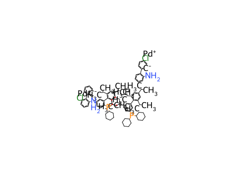 CC(C)c1cc(C(C)C)c(-c2cccc(P(C3CCCCC3)C3CCCCC3)c2)c(C(C)C)c1.CC(C)c1cc(C(C)C)c(-c2ccccc2P(C2CCCCC2)C2CCCCC2)c(C(C)C)c1.Nc1ccccc1-c1[c-]cccc1.Nc1ccccc1-c1[c-]cccc1.[Cl][Pd+].[Cl][Pd+]